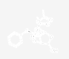 CC(=O)OC1C2OC(O)C(O[C@H]1Sc1ccccc1)[C@H]2OC(C)=O